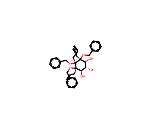 C=CC[C@]1(OCc2ccccc2)[C@@](CC=C)(OCc2ccccc2)[C@H](O)[C@@H](O)[C@H](O)[C@@]1(CC=C)OCc1ccccc1